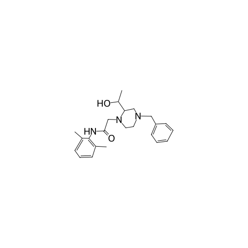 Cc1cccc(C)c1NC(=O)CN1CCN(Cc2ccccc2)CC1C(C)O